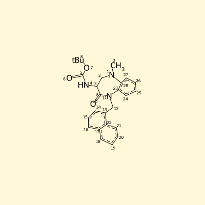 CN1CC(NC(=O)OC(C)(C)C)C(=O)N(Cc2cccc3ccccc23)c2ccccc21